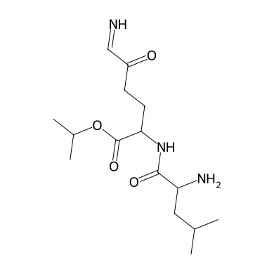 CC(C)CC(N)C(=O)NC(CCC(=O)C=N)C(=O)OC(C)C